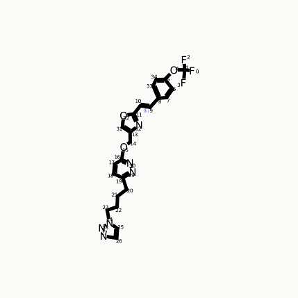 FC(F)(F)Oc1ccc(/C=C/c2nc(COc3ccc(CCCCn4ccnn4)nn3)co2)cc1